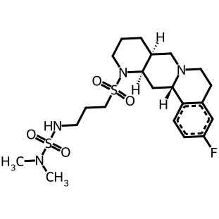 CN(C)S(=O)(=O)NCCCS(=O)(=O)N1CCC[C@H]2CN3CCc4cc(F)ccc4[C@@H]3C[C@H]21